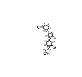 Cc1nc(-c2cccc(Cl)c2)cn1-c1ccn(CCO)c(=O)c1